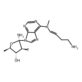 C[C@H]1O[C@@](N)(n2cnc3c(N(C)C=CCCN)ncnc32)[C@@H](F)[C@@H]1O